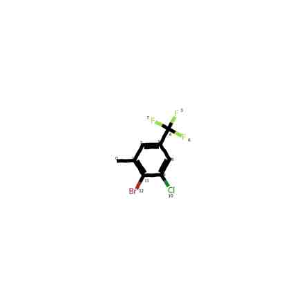 Cc1cc(C(F)(F)F)cc(Cl)c1Br